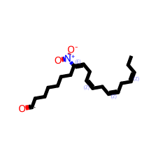 CC/C=C\C/C=C\C/C=C\C/C=C(\CCCCCC[C]=O)[N+](=O)[O-]